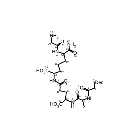 CCCCCCCCCCCC(=O)NC(C)C(=O)NC(CCC(=O)NC(CCCC(NC(=O)CN)C(N)=O)C(=O)O)C(=O)O